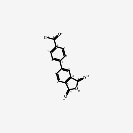 O=C(Cl)c1ccc(-c2ccc3c(c2)C(=O)OC3=O)cc1